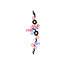 CC#CCOc1ccc(S(=O)(=O)N(C)C(C(=O)NO)c2ccc(OCCCNC(=O)OCCCC)cc2)cc1